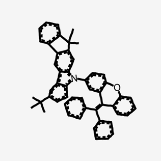 CC(C)(C)c1ccc2c(c1)c1cc3c(cc1n2-c1ccc2c(c1)C(=C(c1ccccc1)c1ccccc1)c1ccccc1O2)C(C)(C)c1ccccc1-3